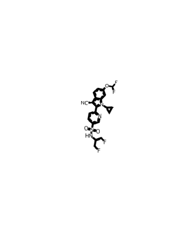 N#Cc1c(-c2ccc(S(=O)(=O)NC(CF)CF)cn2)n(C2CC2)c2cc(OC(F)F)ccc12